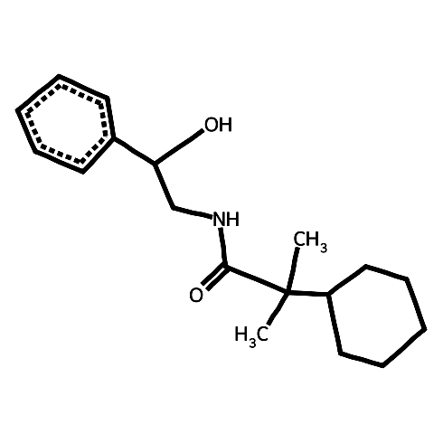 CC(C)(C(=O)NCC(O)c1ccccc1)C1CCCCC1